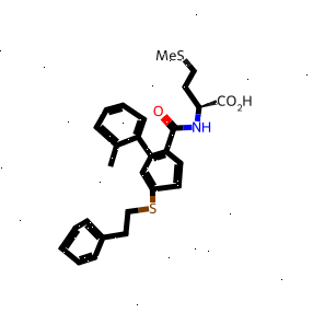 CSCC[C@H](NC(=O)c1ccc(SCCc2ccccc2)cc1-c1ccccc1C)C(=O)O